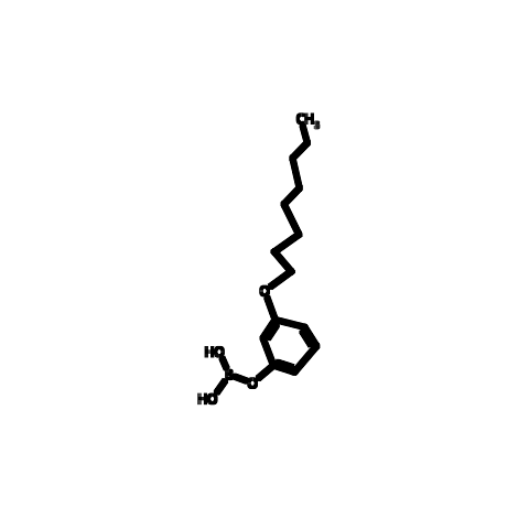 CCCCCCCCOc1cccc(OB(O)O)c1